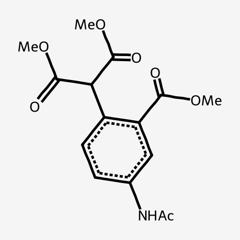 COC(=O)c1cc(NC(C)=O)ccc1C(C(=O)OC)C(=O)OC